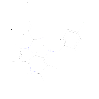 C=CC(I)n1c(C)c(C)c2nc(C)c(C)c(NCc3ccc(F)cc3)c21.Cl